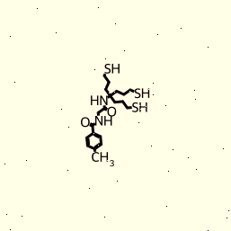 Cc1ccc(C(=O)NCC(=O)NC(CCCS)(CCCS)CCCS)cc1